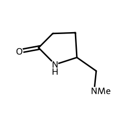 CNCC1CCC(=O)N1